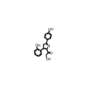 O=C(CO)C1N=C(c2ccc(O)cc2)CC1c1ccccc1O